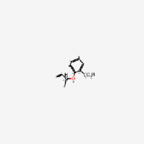 C=C[SiH](C)Oc1ccccc1C(=O)O